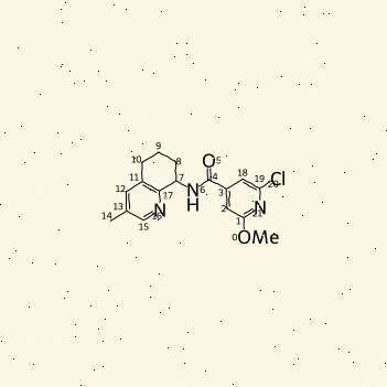 COc1cc(C(=O)NC2CCCc3cc(C)cnc32)cc(Cl)n1